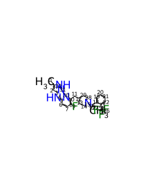 Cc1cc(Nc2ccc(F)c(CC3CCN([C@@H](C)c4ccccc4C(F)(F)F)CC3)n2)n[nH]1